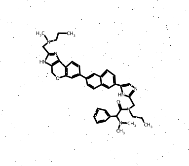 CCCN(C)Cc1nc2c([nH]1)COc1cc(-c3ccc4cc(-c5cnc(CN(CCC)C(=O)C(c6ccccc6)N(C)C)[nH]5)ccc4c3)ccc1-2